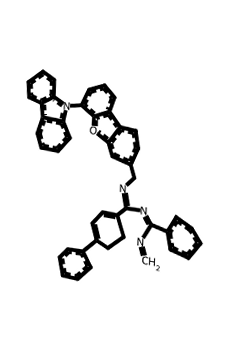 C=N/C(=N\C(=N/Cc1ccc2c(c1)oc1c(-n3c4ccccc4c4ccccc43)cccc12)C1=CC=C(c2ccccc2)CC1)c1ccccc1